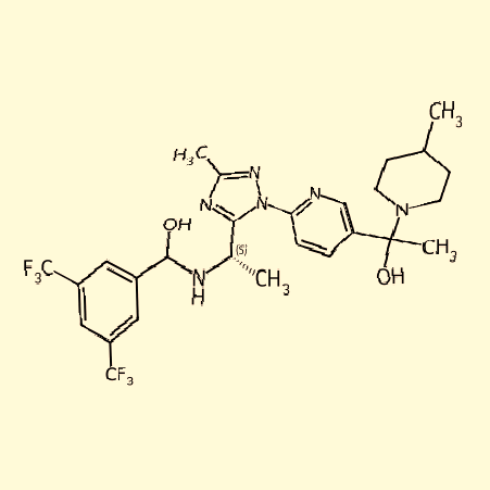 Cc1nc([C@H](C)NC(O)c2cc(C(F)(F)F)cc(C(F)(F)F)c2)n(-c2ccc(C(C)(O)N3CCC(C)CC3)cn2)n1